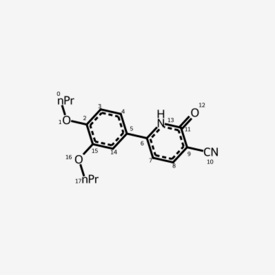 CCCOc1ccc(-c2ccc(C#N)c(=O)[nH]2)cc1OCCC